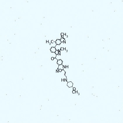 COC1CCC(NC/C=C/C(=O)Nc2ccc(C(=O)c3nn(C)c4c(-c5cc6ncn(C)c6cc5C)cccc34)cc2C#N)CC1